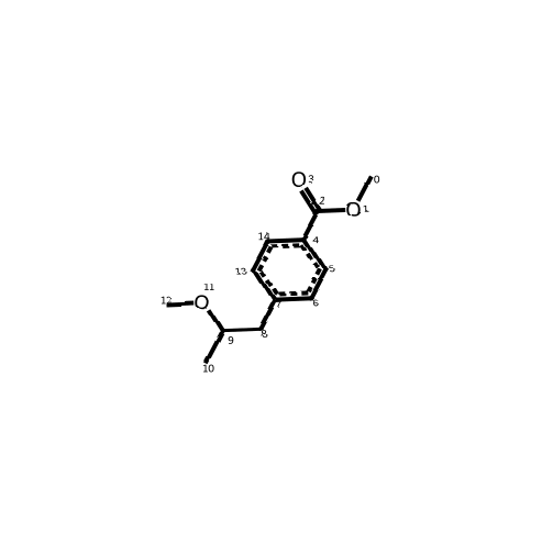 COC(=O)c1ccc(CC(C)OC)cc1